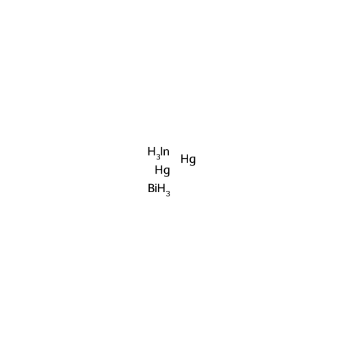 [BiH3].[Hg].[Hg].[InH3]